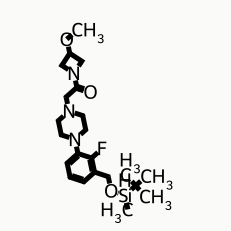 COC1CN(C(=O)CN2CCN(c3cccc(CO[SiH](C)C(C)(C)C)c3F)CC2)C1